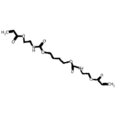 C=CC(=O)OCCNC(=O)OCCCCOC(=O)NCCOC(=O)C=C